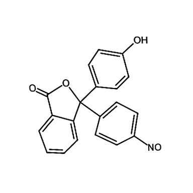 O=Nc1ccc(C2(c3ccc(O)cc3)OC(=O)c3ccccc32)cc1